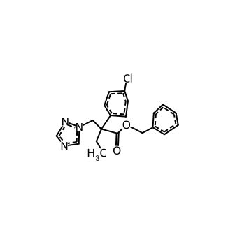 CCC(Cn1cncn1)(C(=O)OCc1ccccc1)c1ccc(Cl)cc1